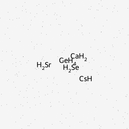 [CaH2].[CsH].[GeH4].[SeH2].[SrH2]